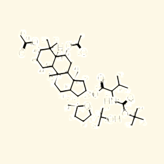 CC(=O)O[C@H]1CC2[C@]3(CC[C@]4(C)[C@@H]([C@@]5(C)CC[C@@H](C(C)(C)O)O5)[C@@H](OC(=O)C(NC(=O)OC(C)(C)C)C(C)C)C[C@@]24C)C[C@@]32CC[C@H](OC(C)=O)C(C)(C)[C@H]12